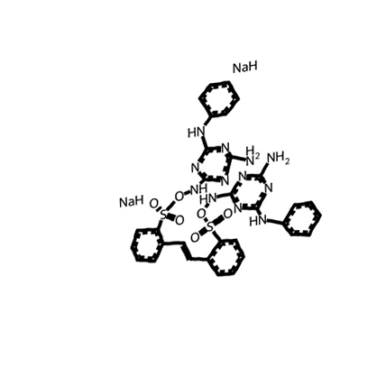 Nc1nc(NOS(=O)(=O)c2ccccc2C=Cc2ccccc2S(=O)(=O)ONc2nc(N)nc(Nc3ccccc3)n2)nc(Nc2ccccc2)n1.[NaH].[NaH]